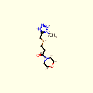 Cn1nnnc1CSCCC(=O)N1CCOCC1